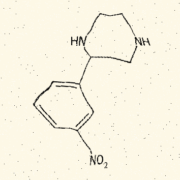 O=[N+]([O-])c1cccc(C2CNCCN2)c1